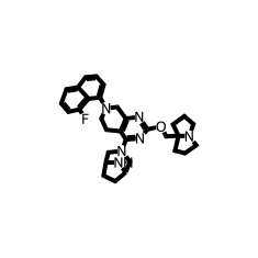 Fc1cccc2cccc(N3CCc4c(nc(OCC56CCCN5CCC6)nc4N4CC5CCC(C4)N5)C3)c12